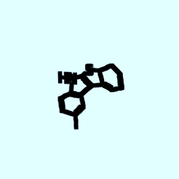 Cc1ccc2[nH]c3c(c2c1)C1=CC=CCC1S3